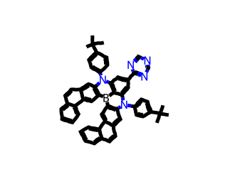 CC(C)(C)c1ccc(N2c3cc4ccc5ccccc5c4cc3B3c4cc5c(ccc6ccccc65)cc4N(c4ccc(C(C)(C)C)cc4)c4cc(-c5ncncn5)cc2c43)cc1